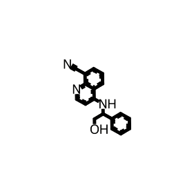 N#Cc1cccc2c(NC(CO)c3ccccc3)ccnc12